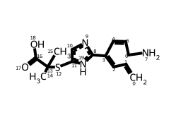 C=C/C=C(\C=C/CN)c1ncc(SC(C)(C)C(=O)O)[nH]1